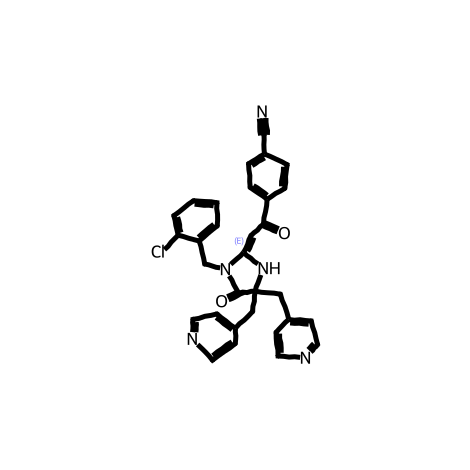 N#Cc1ccc(C(=O)/C=C2\NC(Cc3ccncc3)(Cc3ccncc3)C(=O)N2Cc2ccccc2Cl)cc1